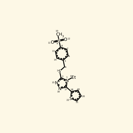 CCn1c(SCc2ccc(S(C)(=O)=O)cc2)nnc1-c1cccs1